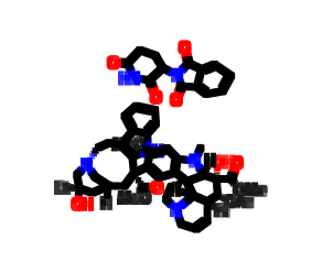 CC[C@]1(O)C[C@@H]2C[N@@](CCc3c([nH]c4ccccc34)[C@@](C(=O)OC)(c3cc4c(cc3OC)N(C)[C@H]3[C@@](O)(C(=O)OC)[C@H](OC(C)=O)[C@]5(CC)C=CCN6CC[C@]43[C@@H]65)C2)C1.O=C1CCC(N2C(=O)c3ccccc3C2=O)C(=O)N1